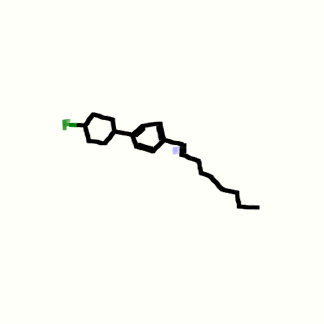 CCCCCCC/C=C/c1ccc(C2CCC(F)CC2)cc1